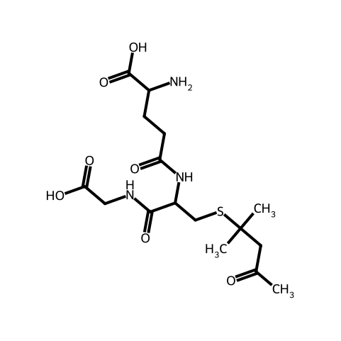 CC(=O)CC(C)(C)SCC(NC(=O)CCC(N)C(=O)O)C(=O)NCC(=O)O